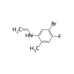 C=CNc1cc(Br)c(F)cc1C